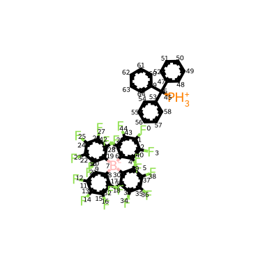 Fc1c(F)c(F)c([B-](c2c(F)c(F)c(F)c(F)c2F)(c2c(F)c(F)c(F)c(F)c2F)c2c(F)c(F)c(F)c(F)c2F)c(F)c1F.[PH3+]C(c1ccccc1)(c1ccccc1)c1ccccc1